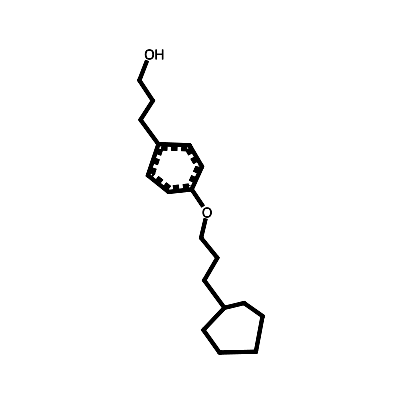 OCCCc1ccc(OCCCC2CCCCC2)cc1